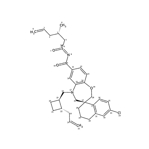 C=CC[C@H](C)C/[SH](=O)=N/C(=O)c1ccc2c(c1)N(C[C@@H]1CC[C@H]1CC=C)C[C@@]1(CCCc3cc(Cl)ccc31)CO2